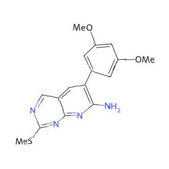 COc1cc(OC)cc(-c2cc3cnc(SC)nc3nc2N)c1